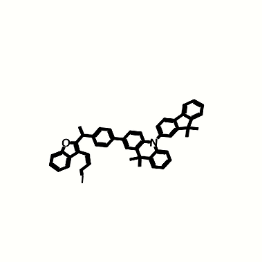 CC(c1ccc(-c2ccc3c(c2)C(C)(C)c2ccccc2N3c2ccc3c(c2)C(C)(C)c2ccccc2-3)cc1)c1oc2ccccc2c1/C=C\CI